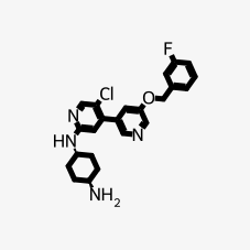 N[C@H]1CC[C@H](Nc2cc(-c3cncc(OCc4cccc(F)c4)c3)c(Cl)cn2)CC1